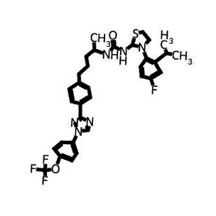 CC(CCCc1ccc(-c2ncn(-c3ccc(OC(F)(F)F)cc3)n2)cc1)NC(=O)NC1SCCN1c1ccc(F)cc1C(C)C